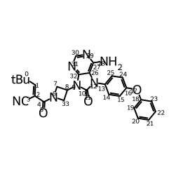 CC(C)(C)C=C(C#N)C(=O)N1CC(n2c(=O)n(-c3ccc(Oc4ccccc4)cc3)c3c(N)ncnc32)C1